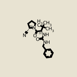 CC(C)(C)[C@H](NC(=O)NCc1ccccc1)C(=O)N1CCC[C@H]1C#N